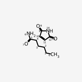 CCCCCC(N)=O.O=C1C=CC(=O)N1